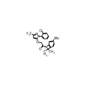 CC(C)(C)c1ccc2c(c1)N(C(=O)COc1cc(C(F)(F)F)nn1-c1ccccc1Cl)C2(C)C